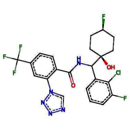 O=C(NC(c1cccc(F)c1Cl)[C@]1(O)CC[C@@H](F)CC1)c1ccc(C(F)(F)F)cc1-n1cnnn1